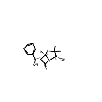 CC1(C)S[C@@H]2[C@@H](C(O)c3cccnc3)C(=O)N2[C@H]1C#N